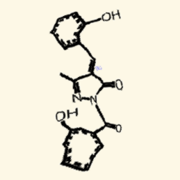 CC1=NN(C(=O)c2ccccc2O)C(=O)/C1=C/c1ccccc1O